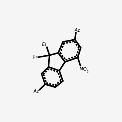 CCC1(CC)c2cc(C(C)=O)ccc2-c2c([N+](=O)[O-])cc(C(C)=O)cc21